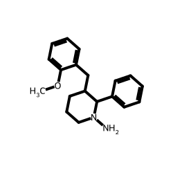 COc1ccccc1CC1CCCN(N)C1c1ccccc1